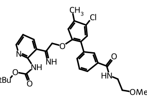 COCCNC(=O)c1cccc(-c2cc(Cl)c(C)cc2OCC(=N)c2cccnc2NC(=O)OC(C)(C)C)c1